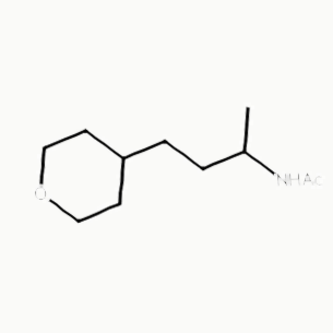 CC(=O)NC(C)CCC1CCOCC1